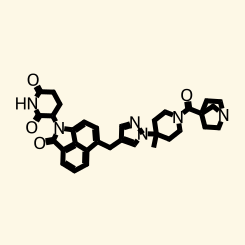 CC1(n2cc(Cc3ccc4c5c(cccc35)C(=O)N4C3CCC(=O)NC3=O)cn2)CCN(C(=O)C23CCN(CC2)C3)CC1